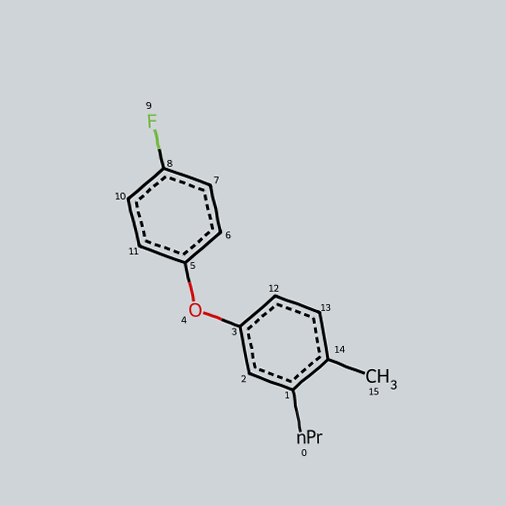 CCCc1cc(Oc2ccc(F)cc2)ccc1C